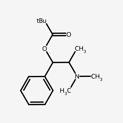 CC(C(OC(=O)C(C)(C)C)c1ccccc1)N(C)C